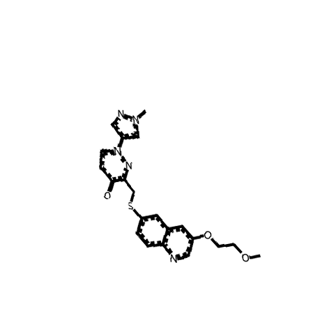 COCCOc1cnc2ccc(SCc3nn(-c4cnn(C)c4)ccc3=O)cc2c1